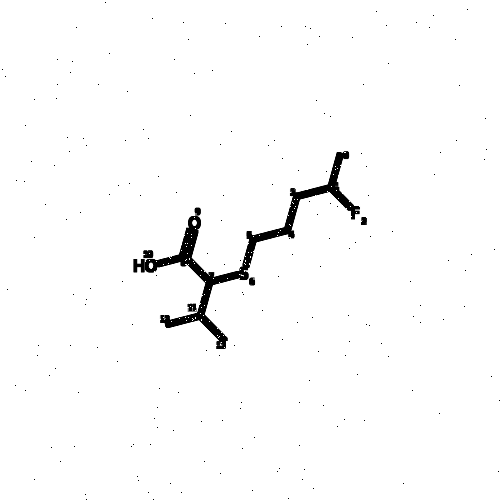 CC(F)CCCSC(C(=O)O)C(C)C